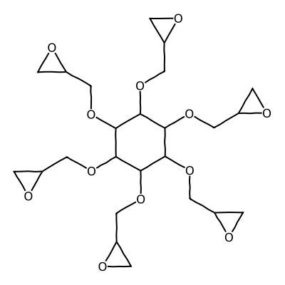 C1OC1COC1C(OCC2CO2)C(OCC2CO2)C(OCC2CO2)C(OCC2CO2)C1OCC1CO1